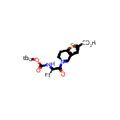 CC[C@@H](NC(=O)OC(C)(C)C)C(=O)N1CCc2sc(C(=O)O)cc2C1